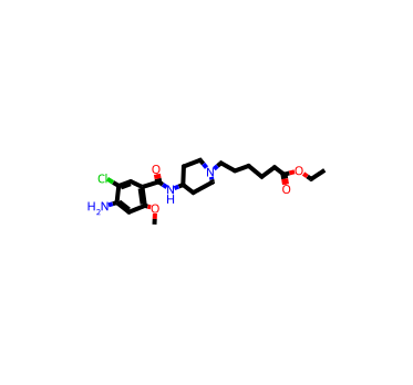 CCOC(=O)CCCCCN1CCC(NC(=O)c2cc(Cl)c(N)cc2OC)CC1